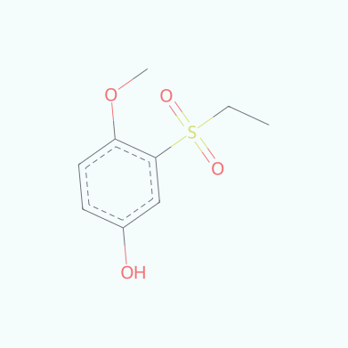 CCS(=O)(=O)c1cc(O)ccc1OC